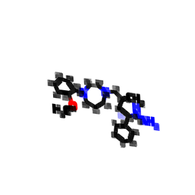 C=C(/C=C(\NN)c1ccccc1)CN1CCCN(c2ccccc2OC)CC1